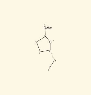 CO[C@H]1CC[C@@H](CI)O1